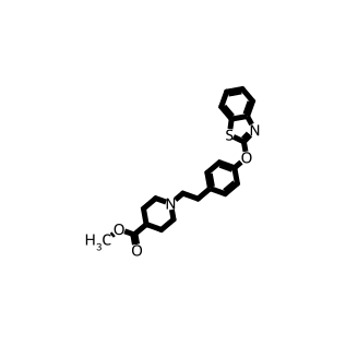 COC(=O)C1CCN(CCc2ccc(Oc3nc4ccccc4s3)cc2)CC1